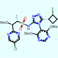 COc1ncnc(OC)c1-n1c(NS(=O)(=O)[C@@H](C)[C@H](OC)c2ncc(Cl)cn2)nnc1[C@H]1CC[C@@H]1F